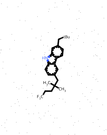 CC(C)(C)Cc1ccc2c(c1)[nH]c1ccc(CC(C)(C)CCC(F)(F)F)cc12